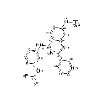 FC(F)Oc1cccc(Nc2nc(-c3cccnc3)nc3cc(OC(F)(F)F)ccc23)c1